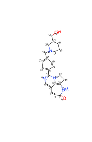 O=C1C=CC2=CN=C(c3ccc(CN4CCCC(CO)C4)cc3)N3CCC(=C23)N1